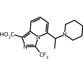 CC(c1cccc2c(C(=O)O)nc(C(F)(F)F)n12)N1CCCCC1